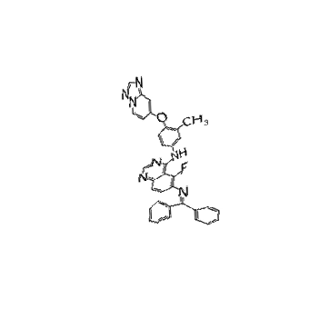 Cc1cc(Nc2ncnc3ccc(N=C(c4ccccc4)c4ccccc4)c(F)c23)ccc1Oc1ccn2ncnc2c1